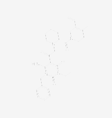 C=CC1=C(C)CCN(C(=O)[C@H]2CCCCN2CC(=O)c2c(N)n(Cc3ccccc3)c(=O)n(CC)c2=O)C1